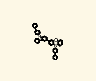 c1ccc(-c2ccc(N3c4ccccc4Oc4cc(-c5ccc6c(c5)c5ccccc5n6-c5ccc(-c6ccccc6)cc5)ccc43)cc2)cc1